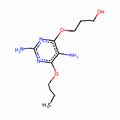 CCCOc1nc(N)nc(OCCCO)c1N